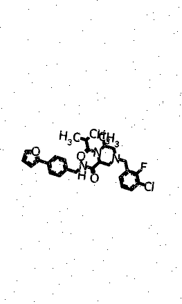 CC(C)C(=O)N1C(C)CN(Cc2cccc(Cl)c2F)CC1C(=O)NCc1ccc(-c2ccco2)cc1